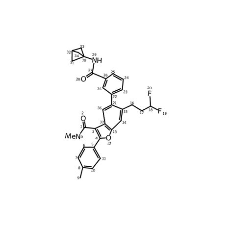 CNC(=O)c1c(-c2ccc(C)cc2)oc2cc(CCC(F)F)c(-c3cccc(C(=O)NC45CC(C4)C5)c3)cc12